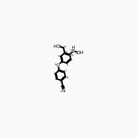 N#Cc1ccc(Oc2ccc(BO)c(CO)c2)cc1